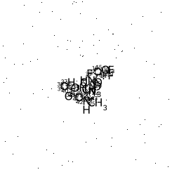 CC(C)C(NC(=O)c1cc(OC(F)(F)F)ccc1F)C(=O)N1CCC(C)(Nc2ccc(C(=O)C(O)c3ccccc3)cc2)CC1